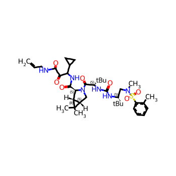 C=CCNC(=O)C(=O)C(NC(=O)[C@@H]1[C@@H]2[C@H](CN1C(=O)[C@@H](NC(=O)N[C@H](CN(C)S(=O)(=O)c1ccccc1C)C(C)(C)C)C(C)(C)C)C2(C)C)C1CC1